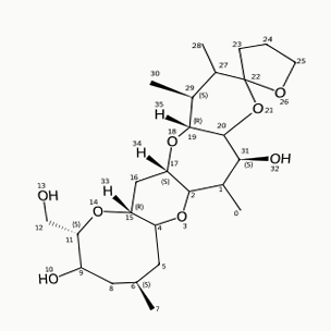 CC1C2OC3C[C@@H](C)CC(O)[C@H](CO)O[C@@H]3C[C@@H]2O[C@H]2C(OC3(CCCO3)C(C)[C@@H]2C)[C@H]1O